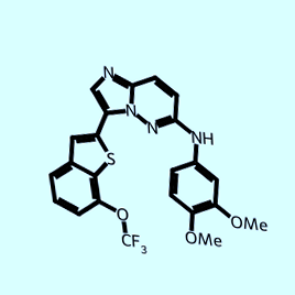 COc1ccc(Nc2ccc3ncc(-c4cc5cccc(OC(F)(F)F)c5s4)n3n2)cc1OC